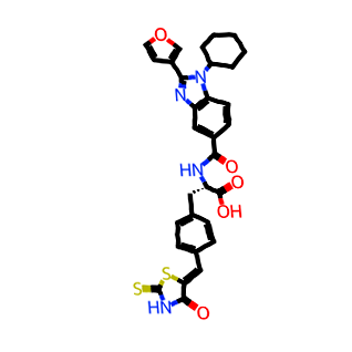 O=C1NC(=S)S/C1=C\c1ccc(C[C@H](NC(=O)c2ccc3c(c2)nc(-c2ccoc2)n3C2CCCCC2)C(=O)O)cc1